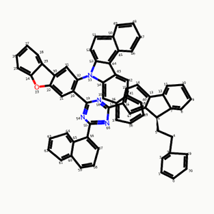 c1ccc(CC[C@@H]2c3ccccc3-c3ccc(-c4nc(-c5cc6oc7ccccc7c6cc5-n5c6cc7ccccc7cc6c6c7ccccc7ccc65)nc(-c5cccc6ccccc56)n4)cc32)cc1